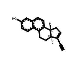 C#CC1=CC[C@H]2c3ccc4cc(O)ccc4c3CC[C@]12C